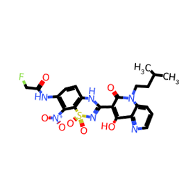 CC(C)CCn1c(=O)c(C2=NS(=O)(=O)c3c(ccc(NC(=O)CF)c3[N+](=O)[O-])N2)c(O)c2ncccc21